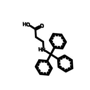 O=C(O)CCNC(c1ccccc1)(c1ccccc1)c1ccccc1